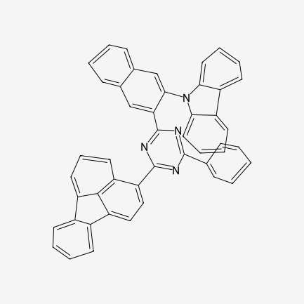 c1ccc(-c2nc(-c3cc4ccccc4cc3-n3c4ccccc4c4ccccc43)nc(-c3ccc4c5c(cccc35)-c3ccccc3-4)n2)cc1